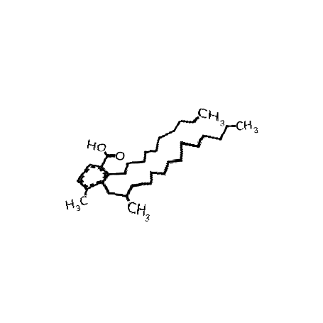 CCCCCCCCCCCCC(C)Cc1c(C)ccc(C(=O)O)c1CCCCCCCCCC